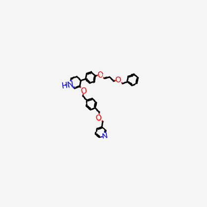 c1ccc(COCCCOc2ccc(C3CCNCC3OCc3ccc(COCc4cccnc4)cc3)cc2)cc1